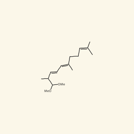 COC(OC)C(C)/C=C/C=C(\C)CCC=C(C)C